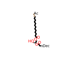 CCCCCCCCCCCC(=O)O[C@@H](CO)COC(=O)CCCCCCCCCCCCSC(C)=O